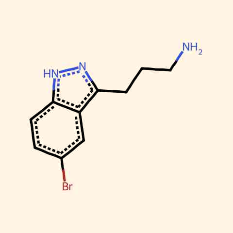 NCCCc1n[nH]c2ccc(Br)cc12